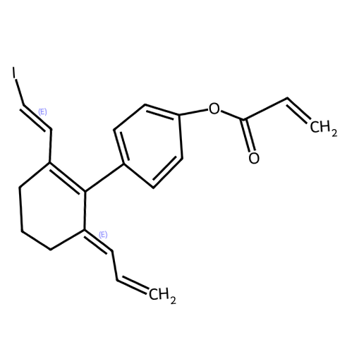 C=C/C=C1\CCCC(/C=C/I)=C1c1ccc(OC(=O)C=C)cc1